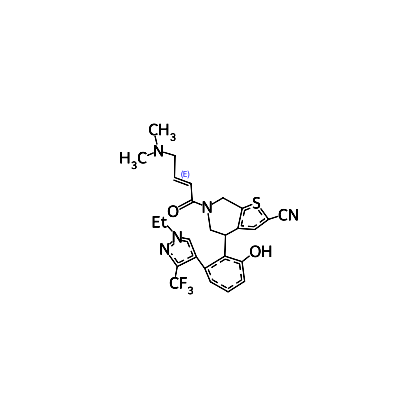 CCn1cc(-c2cccc(O)c2C2CN(C(=O)/C=C/CN(C)C)Cc3sc(C#N)cc32)c(C(F)(F)F)n1